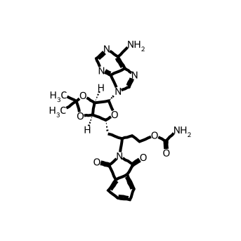 CC1(C)O[C@@H]2[C@H](O1)[C@@H](CC(CCOC(N)=O)N1C(=O)c3ccccc3C1=O)O[C@H]2n1cnc2c(N)ncnc21